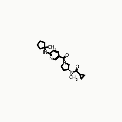 CN(C(=O)C1CC1)[C@H]1CCN(C(=O)c2ccc(NC3(C)CCCC3)nc2)C1